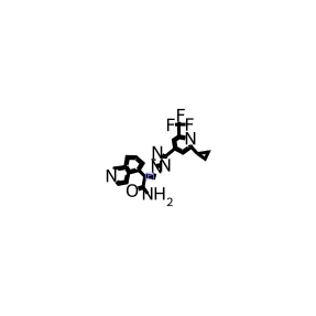 NC(=O)/C(=C/n1cnc(-c2cc(C3CC3)nc(C(F)(F)F)c2)n1)c1cccc2cnccc12